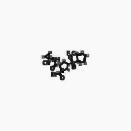 CCC(=O)N1C[C@H](S(=O)(=O)c2ccccc2C(F)(F)F)C[C@H]1C(=O)NC1(C#N)CC1